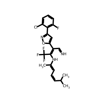 C/C(=C\C=C/C(C)C)N/C(=C(\C=N)c1cc(-c2c(F)cccc2Cl)no1)C(F)(F)F